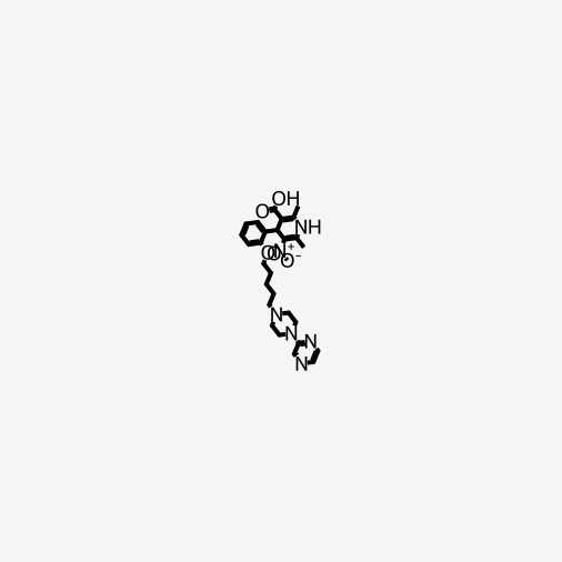 CC1=C(C(=O)O)C(c2ccccc2OCCCCCN2CCN(c3cnccn3)CC2)C([N+](=O)[O-])=C(C)N1